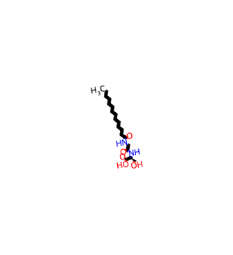 CCCCCCCCCCCCCC(=O)NCC(=O)N[C@@H](CO)C(=O)O